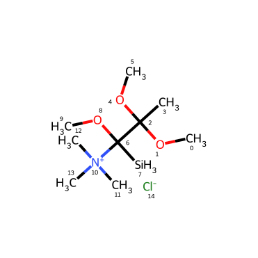 COC(C)(OC)C([SiH3])(OC)[N+](C)(C)C.[Cl-]